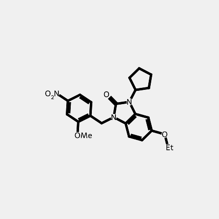 CCOc1ccc2c(c1)n(C1CCCC1)c(=O)n2Cc1ccc([N+](=O)[O-])cc1OC